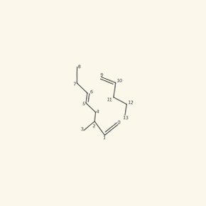 C=CC(C)CC=CCC.C=CCCC